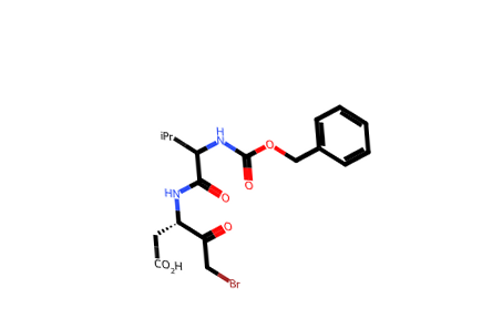 CC(C)C(NC(=O)OCc1ccccc1)C(=O)N[C@@H](CC(=O)O)C(=O)CBr